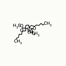 CCCCCCCC1(C(=O)OC)CCC(CCCCCCC)(C(=O)OC)N1C